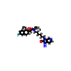 CC(C)[C@H]1c2ccc(F)cc2CC[C@]1(O)CCN(C)CCCCCCn1c(=O)[nH]c2ccncc21